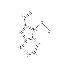 C=Cc1cc2ncccc2n1CC